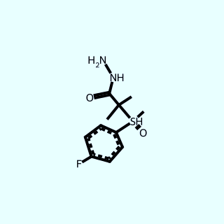 CC(C)(C(=O)NN)[SH](C)(=O)c1ccc(F)cc1